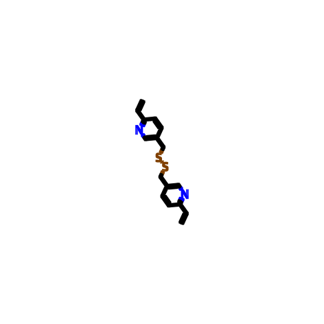 C=Cc1ccc(CSSCc2ccc(C=C)nc2)cn1